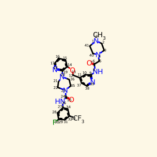 CN1CCN(CC(=O)Nc2cc(COc3cccnc3N3CCN(C(=O)Nc4cc(F)cc(C(F)(F)F)c4)CC3)ccn2)CC1